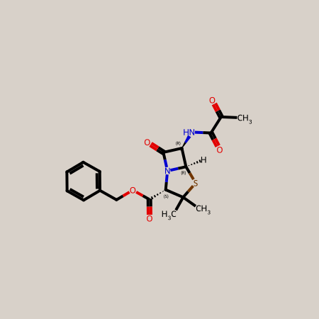 CC(=O)C(=O)N[C@@H]1C(=O)N2[C@@H]1SC(C)(C)[C@@H]2C(=O)OCc1ccccc1